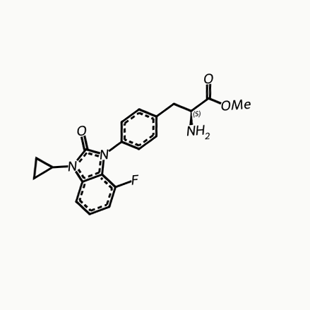 COC(=O)[C@@H](N)Cc1ccc(-n2c(=O)n(C3CC3)c3cccc(F)c32)cc1